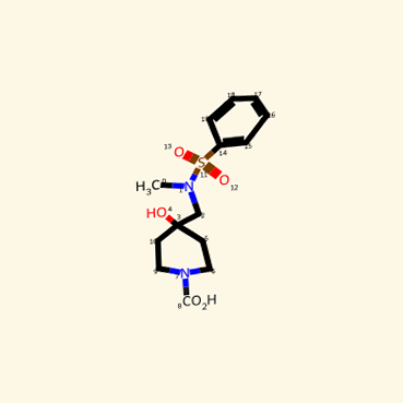 CN(CC1(O)CCN(C(=O)O)CC1)S(=O)(=O)c1ccccc1